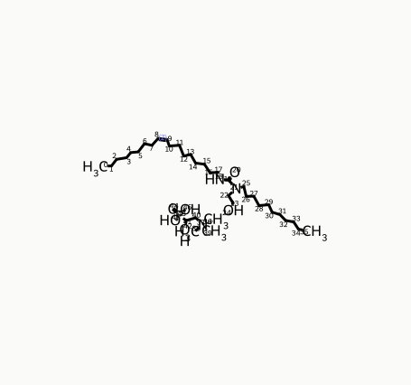 CCCCCCCC/C=C\CCCCCCCCNC(=O)N(CCO)CCCCCCCCCCC.C[N+](C)(C)CC(O)P(=O)(O)O